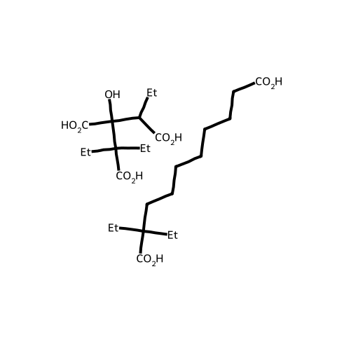 CCC(C(=O)O)C(O)(C(=O)O)C(CC)(CC)C(=O)O.CCC(CC)(CCCCCCCC(=O)O)C(=O)O